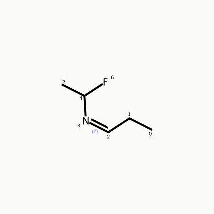 CC/C=N\C(C)F